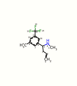 C=CCC(NC)c1cc(C)cc(C(F)(F)F)c1